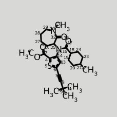 COC(=O)c1sc(C#CC(C)(C)C)cc1N(C(=O)C1CCC(C)CC1)C1CCCCN(C)C1=O